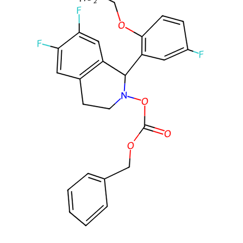 O=C(O)COc1ccc(F)cc1C1c2cc(F)c(F)cc2CCN1OC(=O)OCc1ccccc1